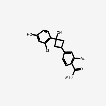 COC(=O)c1ccc(C2CC(O)(c3ccc(O)cc3Cl)C2)cc1C(C)=O